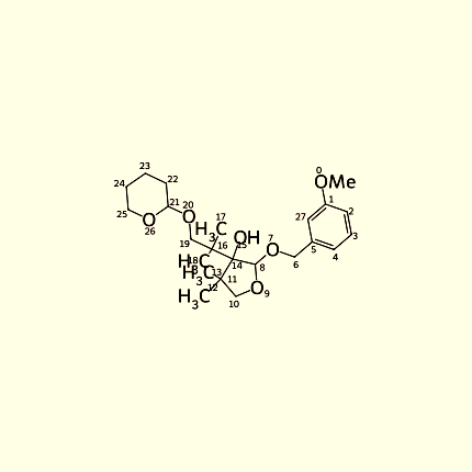 COc1cccc(COC2OCC(C)(C)C2(O)C(C)(C)COC2CCCCO2)c1